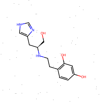 OC[C@H](Cc1c[nH]cn1)NCCc1ccc(O)cc1O